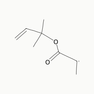 C=CC(C)(C)OC(=O)[CH]C